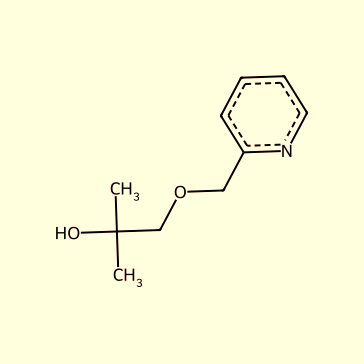 CC(C)(O)COCc1ccccn1